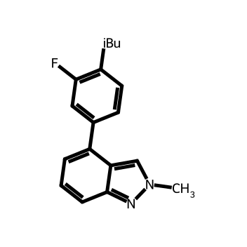 CCC(C)c1ccc(-c2cccc3nn(C)cc23)cc1F